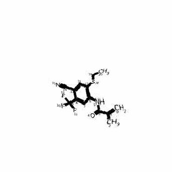 C=C(C)C(=O)Nc1cc(C(F)(F)F)c(C#N)cc1SCC